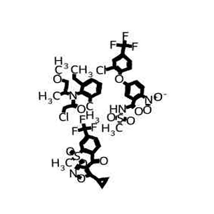 CCc1cccc(C)c1N(C(=O)CCl)C(C)COC.CS(=O)(=O)NC(=O)c1cc(Oc2ccc(C(F)(F)F)cc2Cl)ccc1[N+](=O)[O-].CS(=O)(=O)c1cc(C(F)(F)F)ccc1C(=O)c1cnoc1C1CC1